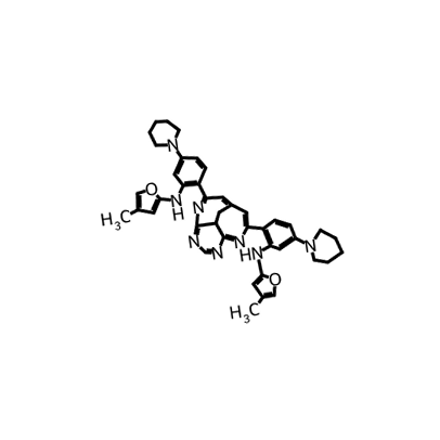 Cc1coc(Nc2cc(N3CCCCC3)ccc2C2=CC3=CC(c4ccc(N5CCCCC5)cc4Nc4cc(C)co4)=NC4=NC=NC(=N2)C4C3)c1